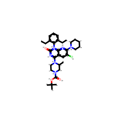 CCc1cccc(CC)c1-n1c(=O)nc(N2CCN(C(=O)OC(C)(C)C)CC2C)c2cc(Cl)c(N3CCCCC3)nc21